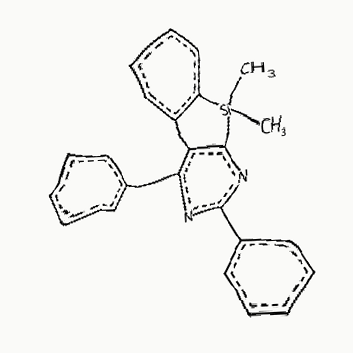 C[Si]1(C)c2ccccc2-c2c(-c3ccccc3)nc(-c3ccccc3)nc21